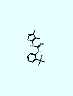 Cc1noc(NC(=N)Nc2ccccc2C(F)(F)F)c1C